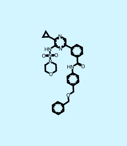 O=C(Nc1ccc(COCc2ccccc2)cc1)c1cccc(-c2cnc(C3CC3)c(NS(=O)(=O)N3CCOCC3)n2)c1